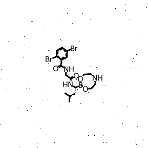 CC(C)C[C@H](NC(=O)CNC(=O)c1cc(Br)ccc1Br)B1OCCNCCO1